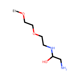 CCOCCOCCNC(O)CN